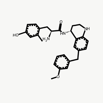 COc1cccc(Cc2ccc3c(c2)[C@H](NC(=O)[C@@H](N)Cc2ccc(O)cc2C)CCN3)c1